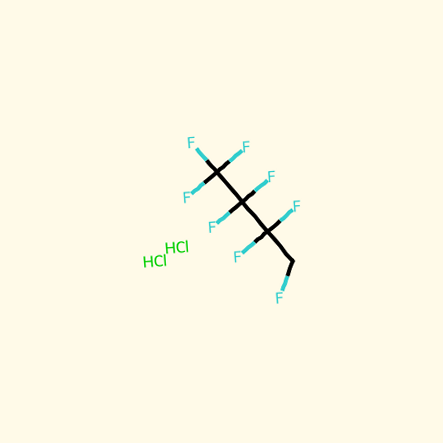 Cl.Cl.FCC(F)(F)C(F)(F)C(F)(F)F